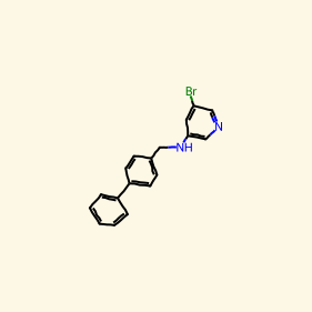 Brc1cncc(NCc2ccc(-c3ccccc3)cc2)c1